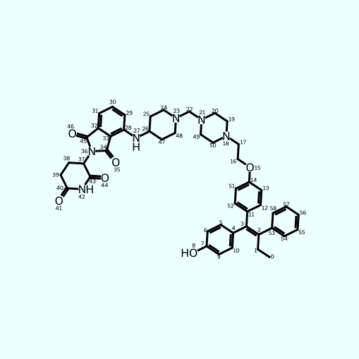 CCC(=C(c1ccc(O)cc1)c1ccc(OCCN2CCN(CN3CCC(Nc4cccc5c4C(=O)N(C4CCC(=O)NC4=O)C5=O)CC3)CC2)cc1)c1ccccc1